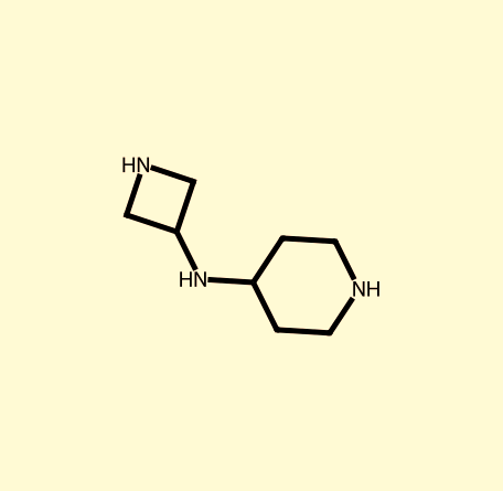 C1CC(NC2CNC2)CCN1